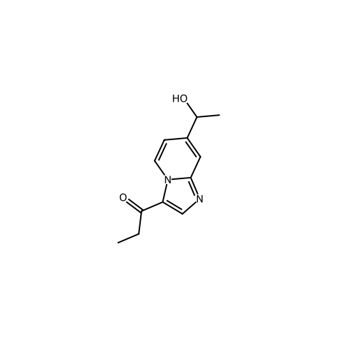 CCC(=O)c1cnc2cc(C(C)O)ccn12